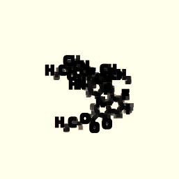 CCOC(=O)c1cn(-c2cc(NC(=O)OC(C)(C)C)c(F)cc2F)c2c(C#C[Si](C)(C)C)c(F)c(F)cc2c1=O